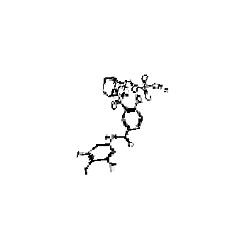 CS(=O)(=O)OC[C@H]1CC2CCC1[C@@H]2S(=O)(=O)c1cc(C(=O)Nc2cc(F)c(F)c(F)c2)ccc1Cl